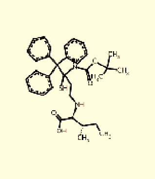 CC[C@H](C)[C@H](NCCC(S)(NC(=O)OC(C)(C)C)C(c1ccccc1)(c1ccccc1)c1ccccc1)C(=O)O